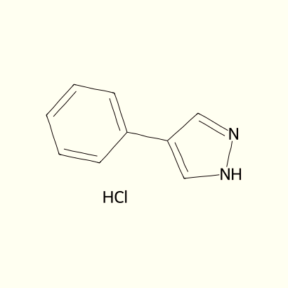 Cl.c1ccc(-c2cn[nH]c2)cc1